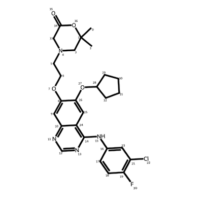 CC1(C)CN(CCOc2cc3ncnc(Nc4ccc(F)c(Cl)c4)c3cc2OC2CCCC2)CC(=O)O1